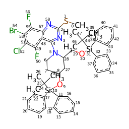 CSc1nc(N2CCC(O[Si](c3ccccc3)(c3ccccc3)C(C)(C)C)CC2CO[Si](c2ccccc2)(c2ccccc2)C(C)(C)C)c2c(F)c(Cl)c(Br)c(F)c2n1